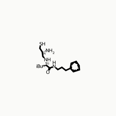 CC[C@H](C)[C@H](NC[C@@H](N)CS)C(=O)NCCCc1ccccc1